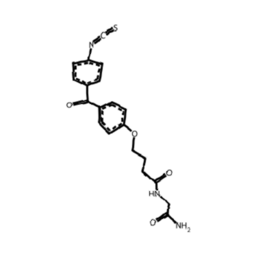 NC(=O)CNC(=O)CCCOc1ccc(C(=O)c2ccc(N=C=S)cc2)cc1